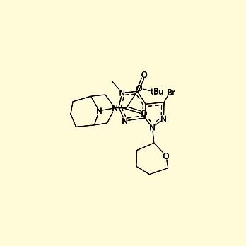 Cn1c(N2C3CCCC2CN(C(=O)OC(C)(C)C)C3)nc2c(c(Br)nn2C2CCCCO2)c1=O